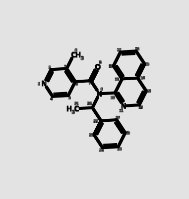 Cc1cnccc1C(=O)N(c1nccc2ccccc12)C(C)c1ccccc1